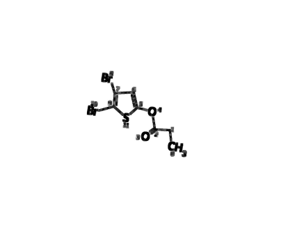 CCC(=O)Oc1cc(Br)c(Br)s1